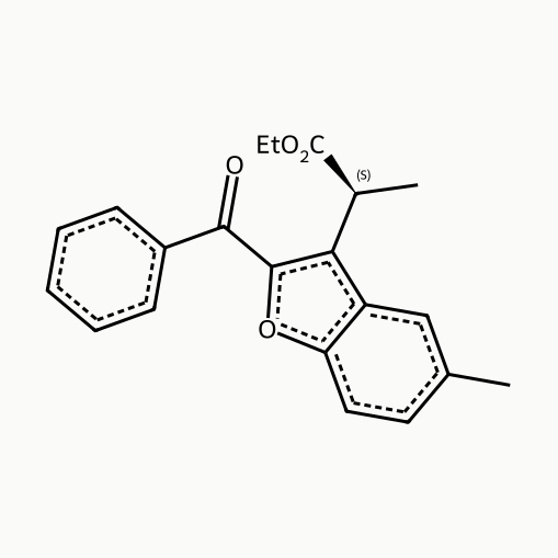 CCOC(=O)[C@@H](C)c1c(C(=O)c2ccccc2)oc2ccc(C)cc12